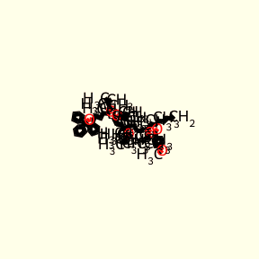 C=CC=C[C@H](C)[C@H](OCc1ccc(OC)cc1)[C@@H](C)[C@@H](CC[C@H](C)C[C@H](C)[C@@H](O[Si](C)(C)C(C)(C)C)[C@@H](C)C=C[C@H](C[C@H](O[Si](C)(C)C(C)(C)C)[C@H](C)C=CCOC(c1ccccc1)(c1ccccc1)c1ccccc1)O[Si](C)(C)C(C)(C)C)O[Si](C)(C)C(C)(C)C